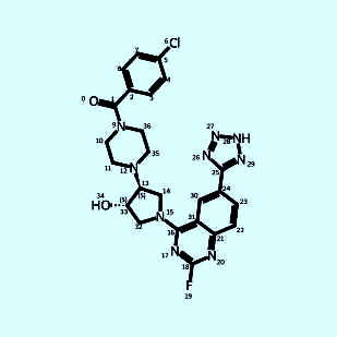 O=C(c1ccc(Cl)cc1)N1CCN([C@H]2CN(c3nc(F)nc4ccc(-c5nn[nH]n5)cc34)C[C@@H]2O)CC1